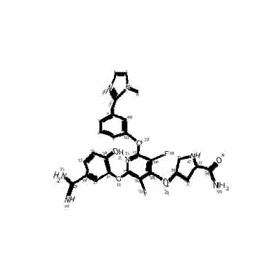 Cn1ccnc1-c1cccc(Oc2nc(Oc3cc(C(=N)N)ccc3O)c(F)c(OC3CNC(C(N)=O)C3)c2F)c1